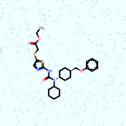 CCOC(=O)CSc1cnc(NC(=O)N(C2CCCCC2)[C@H]2CC[C@H](COc3ccccc3)CC2)s1